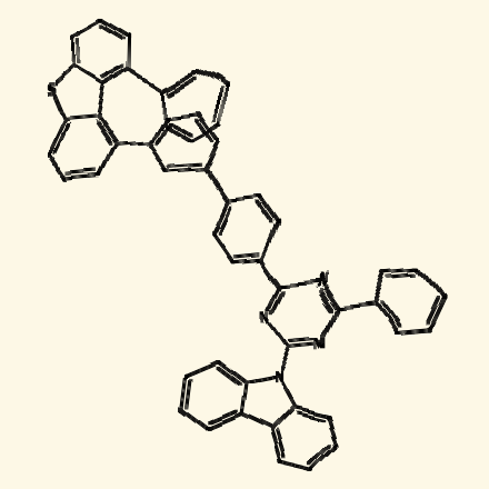 c1ccc(-c2nc(-c3ccc(-c4cccc(-c5cccc6sc7cccc(-c8ccccc8)c7c56)c4)cc3)nc(-n3c4ccccc4c4ccccc43)n2)cc1